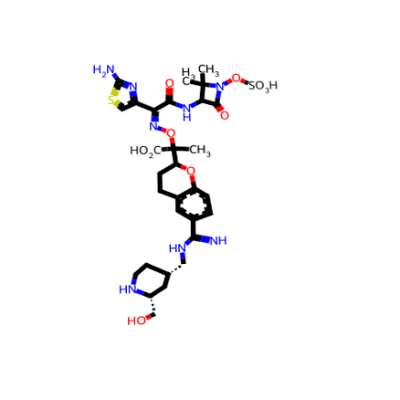 CC(ON=C(C(=O)NC1C(=O)N(OS(=O)(=O)O)C1(C)C)c1csc(N)n1)(C(=O)O)C1CCc2cc(C(=N)NC[C@H]3CCN[C@@H](CO)C3)ccc2O1